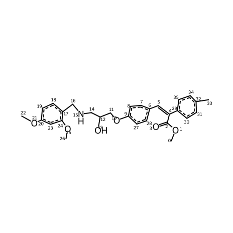 COC(=O)C(=Cc1ccc(OCC(O)CNCc2ccc(OC)cc2OC)cc1)c1ccc(C)cc1